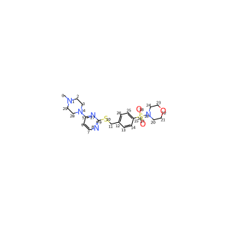 CN1CCN(c2c[c]nc(SCc3ccc(S(=O)(=O)N4CCOCC4)cc3)n2)CC1